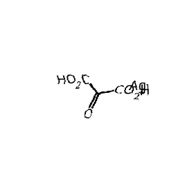 O=C(O)C(=O)C(=O)O.[Ag]